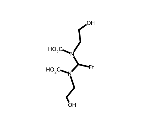 CCC(N(CCO)C(=O)O)N(CCO)C(=O)O